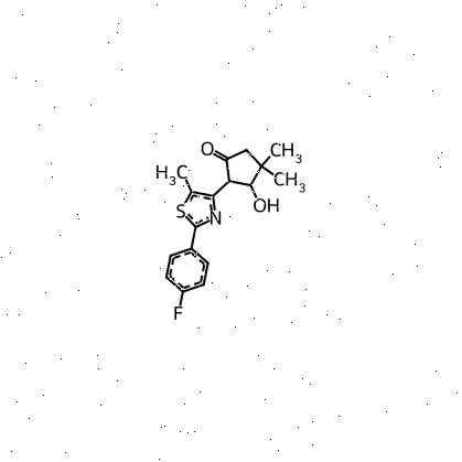 Cc1sc(-c2ccc(F)cc2)nc1C1C(=O)CC(C)(C)C1O